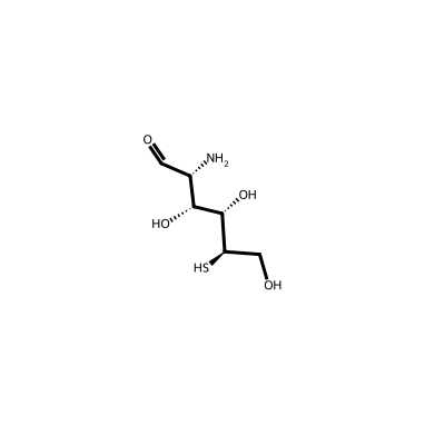 N[C@@H](C=O)[C@@H](O)[C@H](O)[C@H](S)CO